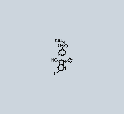 CC(C)(C)NS(=O)(=O)c1ccc(-c2c(C#N)c3cc(Cl)cnc3n2C2=CC=C2)nc1